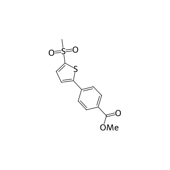 COC(=O)c1ccc(-c2ccc(S(C)(=O)=O)s2)cc1